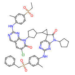 CCS(=O)(=O)c1ccc(Nc2ncc3cc(Cl)c(=O)n(C4CCC(C5CC56C(=O)N(C5CCCC5)c5nc(Nc7ccc(S(=O)(=O)Cc8ccccc8)cc7C)ncc56)C4)c3n2)c(C)c1